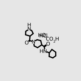 Cl.O=C(NC1CCCCC1)C1CCN(C(=O)C2CCNCC2)CC1.O=C(O)O